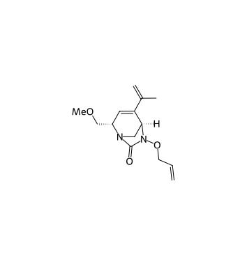 C=CCON1C(=O)N2C[C@H]1C(C(=C)C)=C[C@H]2COC